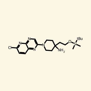 CC(C)(C)[Si](C)(C)OCCC1(N)CCN(c2cnc3nc(Cl)ccc3n2)CC1